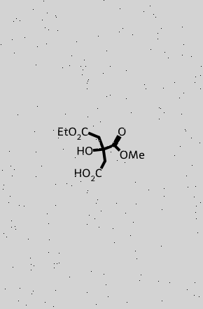 CCOC(=O)CC(O)(CC(=O)O)C(=O)OC